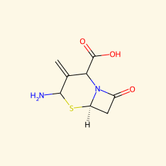 C=C1C(N)S[C@@H]2CC(=O)N2C1C(=O)O